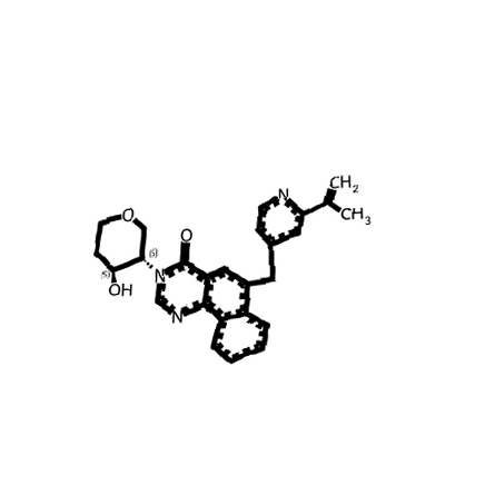 C=C(C)c1cc(Cc2cc3c(=O)n([C@H]4COCC[C@@H]4O)cnc3c3ccccc23)ccn1